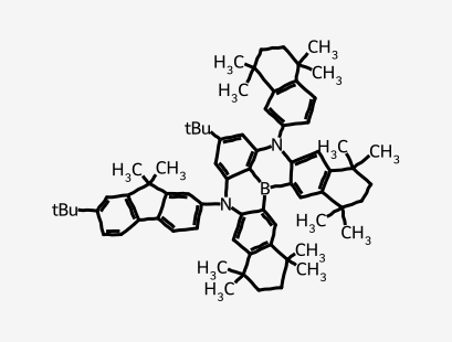 CC(C)(C)c1cc2c3c(c1)N(c1ccc4c(c1)C(C)(C)c1cc(C(C)(C)C)ccc1-4)c1cc4c(cc1B3c1cc3c(cc1N2c1ccc2c(c1)C(C)(C)CCC2(C)C)C(C)(C)CCC3(C)C)C(C)(C)CCC4(C)C